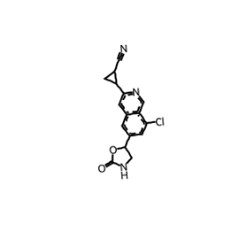 N#CC1CC1c1cc2cc(C3CNC(=O)O3)cc(Cl)c2cn1